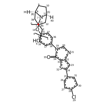 CC(CC(C)(C)O)N1[C@@H]2CC[C@H]1C[C@@H](Oc1ccc(-n3cnc4cc(-c5ccc(Cl)cc5)sc4c3=O)cc1)C2